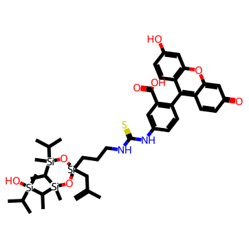 C=C(C)C[Si]1(CCCNC(=S)Nc2ccc(-c3c4ccc(=O)cc-4oc4cc(O)ccc34)c(C(=O)O)c2)O[Si](C)(C(C)C)C(C)[Si](C)(C(C)[Si](C)(O)C(C)C)O1